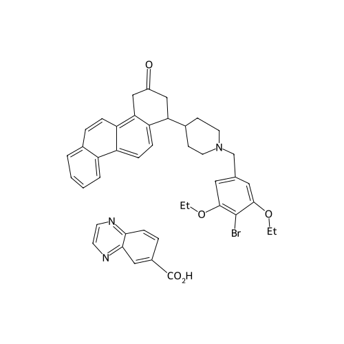 CCOc1cc(CN2CCC(C3CC(=O)Cc4c3ccc3c4ccc4ccccc43)CC2)cc(OCC)c1Br.O=C(O)c1ccc2nccnc2c1